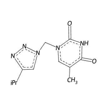 Cc1cn(Cn2cc(C(C)C)nn2)c(=O)[nH]c1=O